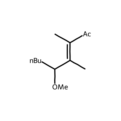 CCCCC(OC)C(C)=C(C)C(C)=O